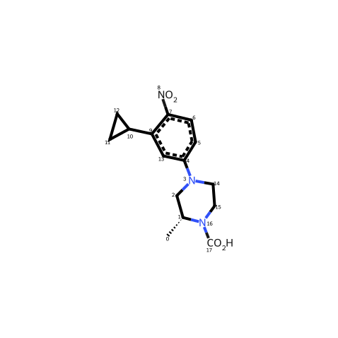 C[C@@H]1CN(c2ccc([N+](=O)[O-])c(C3CC3)c2)CCN1C(=O)O